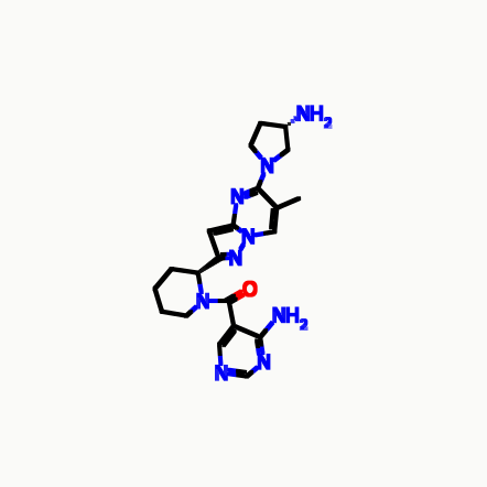 Cc1cn2nc([C@@H]3CCCCN3C(=O)c3cncnc3N)cc2nc1N1CC[C@H](N)C1